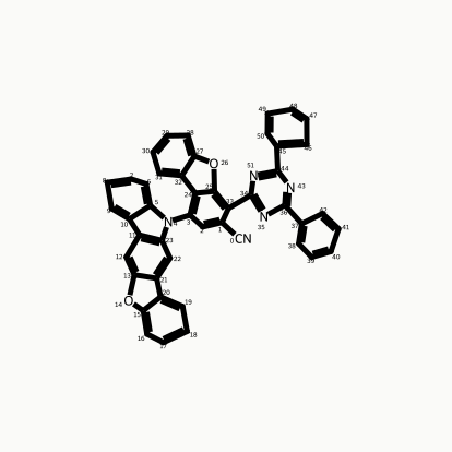 N#Cc1cc(-n2c3ccccc3c3cc4oc5ccccc5c4cc32)c2c(oc3ccccc32)c1-c1nc(-c2ccccc2)nc(-c2ccccc2)n1